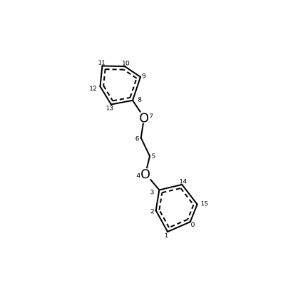 c1ccc(OCCOc2ccccc2)cc1